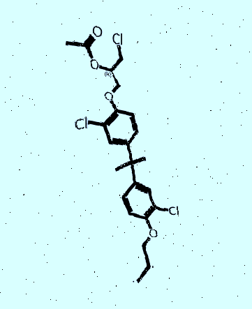 [CH2][CH]COc1ccc(C(C)(C)c2ccc(OC[C@H](CCl)OC(C)=O)c(Cl)c2)cc1Cl